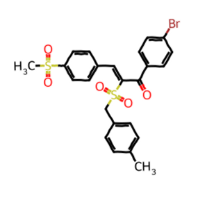 Cc1ccc(CS(=O)(=O)/C(=C\c2ccc(S(C)(=O)=O)cc2)C(=O)c2ccc(Br)cc2)cc1